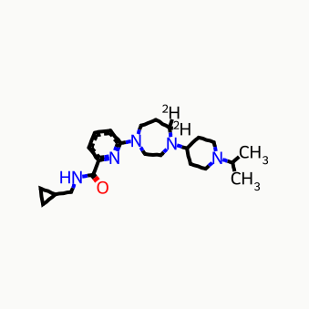 [2H]C1([2H])CCN(c2cccc(C(=O)NCC3CC3)n2)CCN1C1CCN(C(C)C)CC1